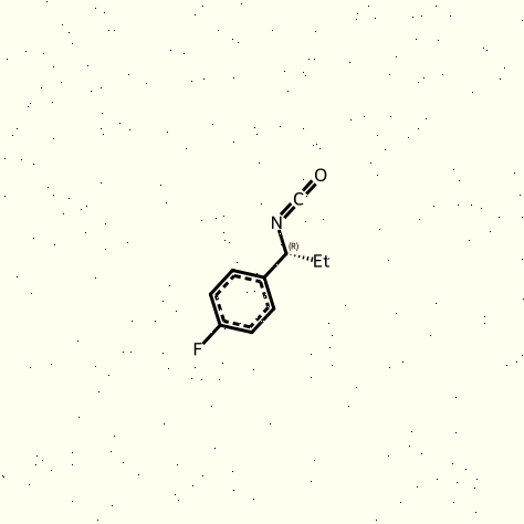 CC[C@@H](N=C=O)c1ccc(F)cc1